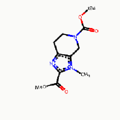 COC(=O)c1nc2c(n1C)CN(C(=O)OC(C)(C)C)CC2